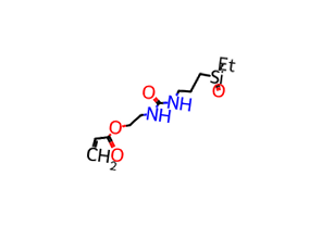 C=CC(=O)OCCNC(=O)NCCC[Si](=O)CC